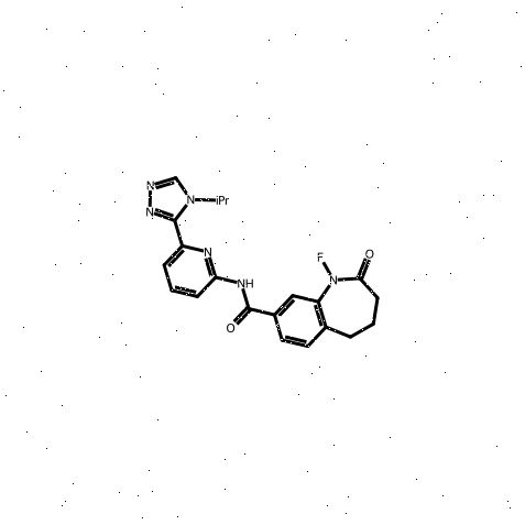 CC(C)n1cnnc1-c1cccc(NC(=O)c2ccc3c(c2)N(F)C(=O)CCC3)n1